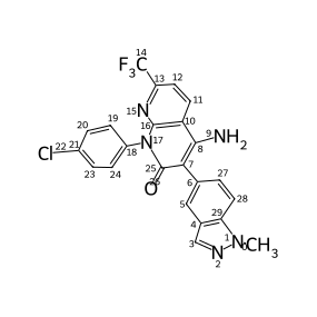 Cn1ncc2cc(-c3c(N)c4ccc(C(F)(F)F)nc4n(-c4ccc(Cl)cc4)c3=O)ccc21